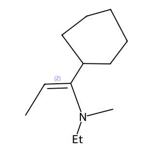 C/C=C(/C1CCCCC1)N(C)CC